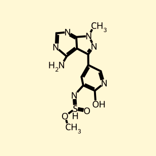 CO[SH](=O)=Nc1cc(-c2nn(C)c3ncnc(N)c23)cnc1O